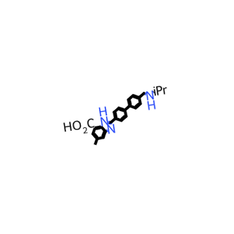 Cc1cc(C(=O)O)c2[nH]c(-c3ccc(-c4ccc(CNC(C)C)cc4)cc3)nc2c1